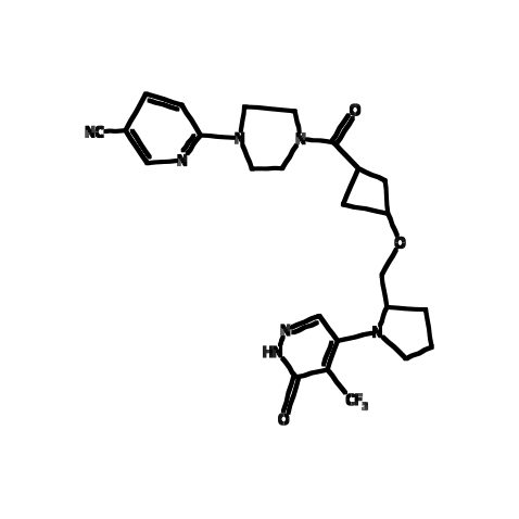 N#Cc1ccc(N2CCN(C(=O)C3CC(OCC4CCCN4c4cn[nH]c(=O)c4C(F)(F)F)C3)CC2)nc1